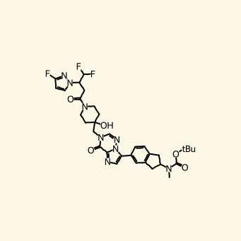 CN(C(=O)OC(C)(C)C)C1Cc2ccc(-c3cnc4c(=O)n(CC5(O)CCN(C(=O)CC(C(F)F)n6ccc(F)n6)CC5)cnn34)cc2C1